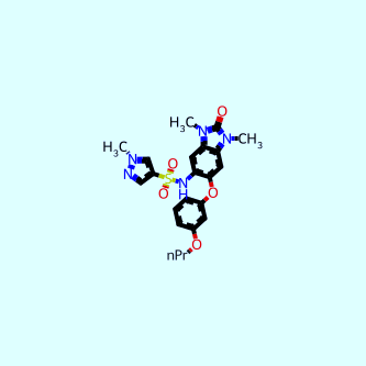 CCCOc1cccc(Oc2cc3c(cc2NS(=O)(=O)c2cnn(C)c2)n(C)c(=O)n3C)c1